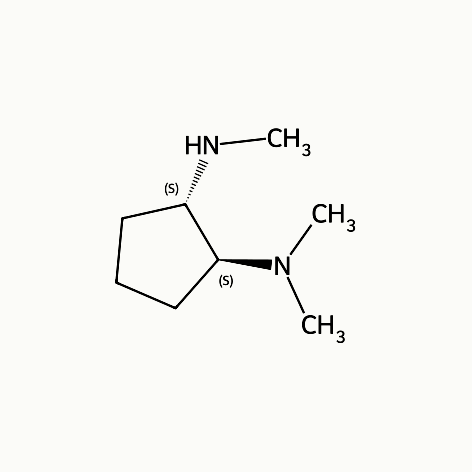 CN[C@H]1CCC[C@@H]1N(C)C